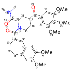 COc1cc2c(cc1OC)CCCC(C(=O)N1CCC(C(=O)c3cc(OC)c(OC)c(OC)c3)CC1C(=O)N(C)C)=C2